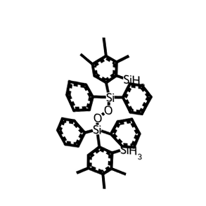 Cc1cc([Si](OO[Si](c2ccccc2)(c2ccccc2)c2cc(C)c(C)c(C)c2[SiH3])(c2ccccc2)c2ccccc2)c([SiH3])c(C)c1C